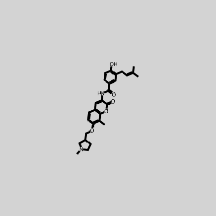 CC(C)=CCc1cc(C(=O)Nc2cc3ccc(OCC4CCN(C)C4)c(C)c3oc2=O)ccc1O